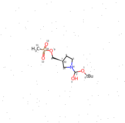 CC(C)(C)OC(O)N1CC[C@H](COS(C)(=O)=O)C1